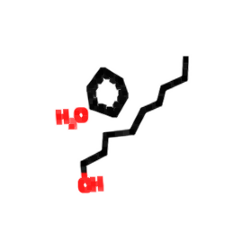 CCCCCCCCCO.O.c1ccccc1